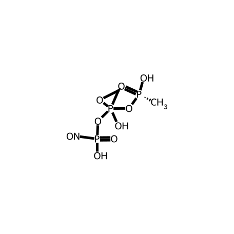 C[P@](=O)(O)OP1(O)(OP(=O)(O)N=O)CO1